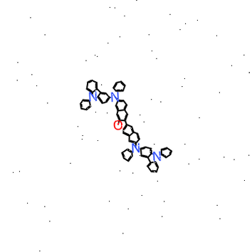 c1ccc(N(c2ccc3cc4c(cc3c2)oc2cc3cc(N(c5ccccc5)c5ccc6c(c5)c5ccccc5n6-c5ccccc5)ccc3cc24)c2ccc3c(c2)c2ccccc2n3-c2ccccc2)cc1